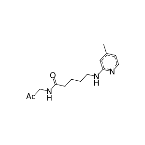 CC(=O)CNC(=O)CCCCNc1cc(C)ccn1